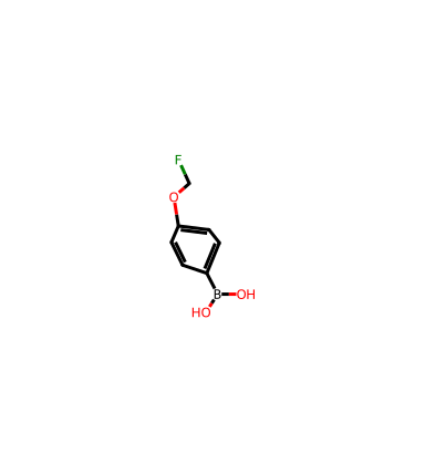 OB(O)c1ccc(OCF)cc1